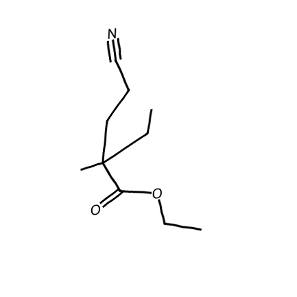 CCOC(=O)C(C)(CC)CCC#N